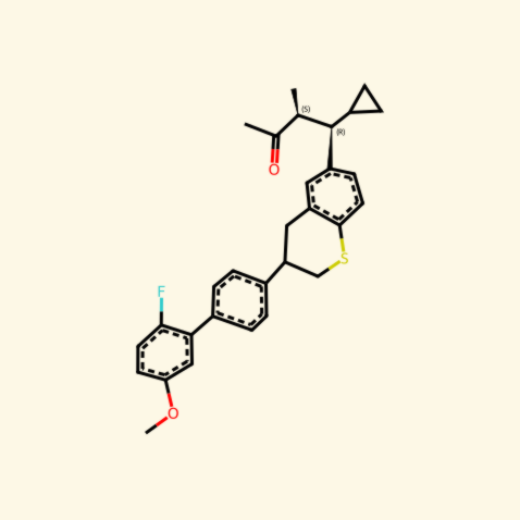 COc1ccc(F)c(-c2ccc(C3CSc4ccc([C@H](C5CC5)[C@H](C)C(C)=O)cc4C3)cc2)c1